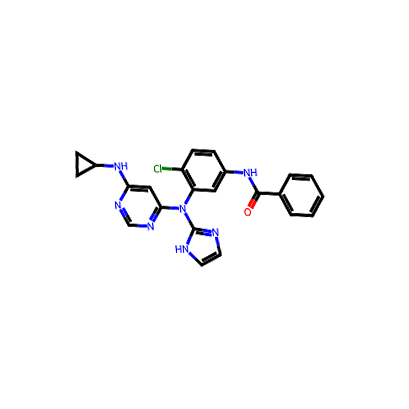 O=C(Nc1ccc(Cl)c(N(c2cc(NC3CC3)ncn2)c2ncc[nH]2)c1)c1ccccc1